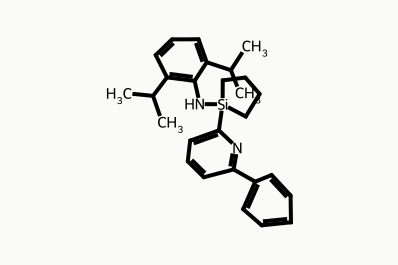 CC(C)c1cccc(C(C)C)c1N[Si]1(c2cccc(-c3ccccc3)n2)CCCC1